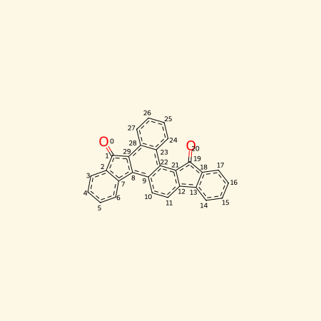 O=c1c2ccccc2c2c3ccc4c5ccccc5c(=O)c4c3c3ccccc3c12